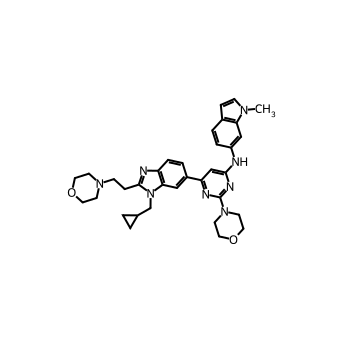 Cn1ccc2ccc(Nc3cc(-c4ccc5nc(CCN6CCOCC6)n(CC6CC6)c5c4)nc(N4CCOCC4)n3)cc21